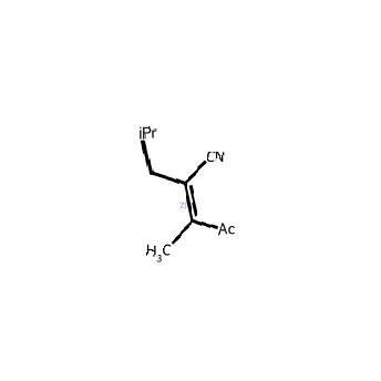 CC(=O)/C(C)=C(\C#N)CC(C)C